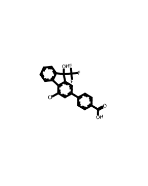 O=C(O)c1ccc(-c2cc(Cl)c3c(c2)C(O)(C(F)(F)F)c2ccccc2-3)cc1